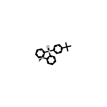 CC(C)(C)c1ccc(P(=O)(c2ccccc2)c2ccccc2OI)cc1